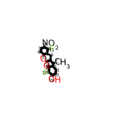 Cc1c(Cc2cccc([N+](=O)[O-])c2F)c(=O)oc2c(F)c(O)ccc12